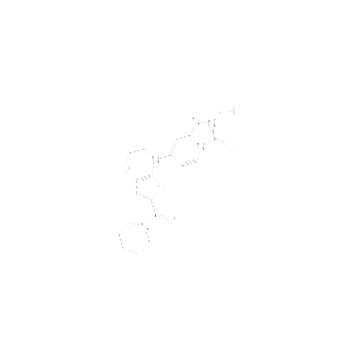 Cn1nc2cc(N3CCOc4cc(C(=O)N5CCCCC5)sc43)ccn2c1=O